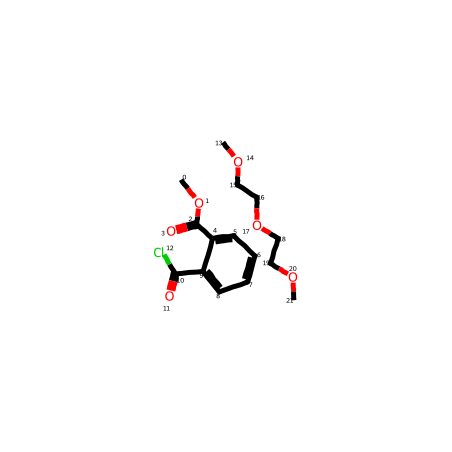 COC(=O)c1ccccc1C(=O)Cl.COCCOCCOC